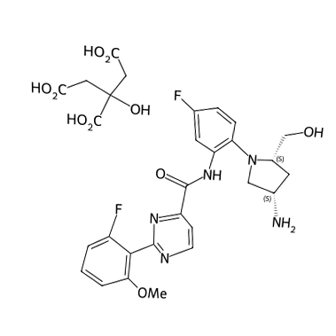 COc1cccc(F)c1-c1nccc(C(=O)Nc2cc(F)ccc2N2C[C@@H](N)C[C@H]2CO)n1.O=C(O)CC(O)(CC(=O)O)C(=O)O